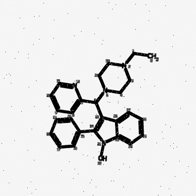 CCN1CCN(C(c2ccccn2)c2c(-c3ccccc3)n(O)c3ccccc23)CC1